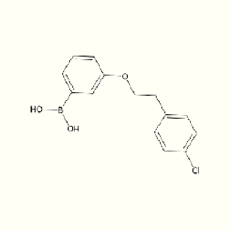 OB(O)c1cccc(OCCc2ccc(Cl)cc2)c1